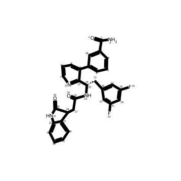 NC(=O)c1cccc(-c2cccnc2[C@H](Cc2cc(F)cc(F)c2)NC(=O)CC2C(=O)Nc3ccccc32)c1